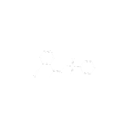 CC(=NOS(=O)(=O)c1ccccc1)c1cnccc1C#N